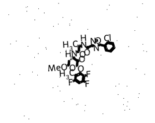 COC(=O)C[C@H](NC(=O)[C@H](C)NC(=O)c1noc(-c2ccccc2Cl)n1)C(=O)COc1c(C)c(F)cc(F)c1F